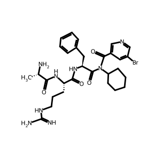 C[C@H](N)C(=O)N[C@@H](CCCNC(=N)N)C(=O)N[C@@H](Cc1ccccc1)C(=O)N(C(=O)c1cncc(Br)c1)C1CCCCC1